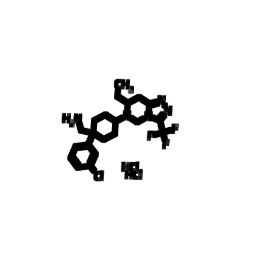 CCC1Cc2nnc(C(F)(F)F)n2CN1C1CCC(CN)(c2cccc(Cl)c2)CC1.Cl.Cl